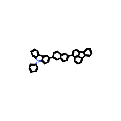 c1ccc(-n2c3ccccc3c3cc(-c4ccc5cc(-c6ccc7c8c(cccc68)-c6ccccc6-7)ccc5c4)ccc32)cc1